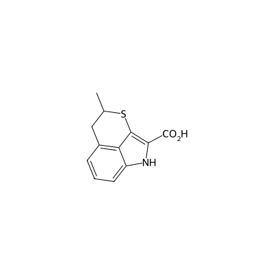 CC1Cc2cccc3[nH]c(C(=O)O)c(c23)S1